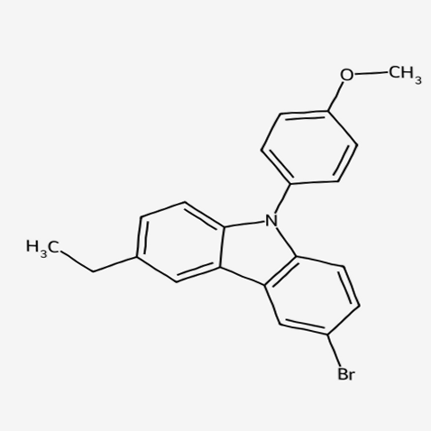 CCc1ccc2c(c1)c1cc(Br)ccc1n2-c1ccc(OC)cc1